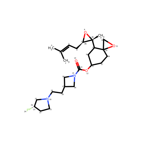 CC(C)=CC[C@H]1O[C@]1(C)C1CC(OC(=O)N2CC(CCN3CC[C@H](F)C3)C2)CCC12CO2